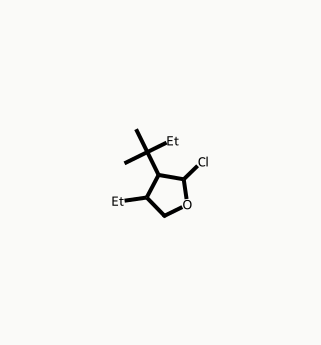 CCC1COC(Cl)C1C(C)(C)CC